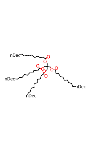 CCCCCCCCCCCCCCCCCCCC(=O)OCC(COC(=O)CCCCCCCCCCCCCCCCCCC)(COC(=O)CCCCCCCCCCCCCCCCCCC)COC(=O)CCCCCCCCCCCCCCCCCCC